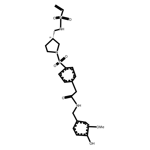 C=CS(=O)(=O)NC[C@H]1CCN(S(=O)(=O)c2ccc(CC(=O)NCc3ccc(O)c(OC)c3)cc2)C1